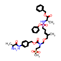 C/C(=C\CCP(=O)(N[C@@H](C)C(=O)OCc1ccccc1)Oc1ccccc1)COCN(CCS(C)(=O)=O)C(=O)OCc1ccc(NC(=O)[C@H](C)N)cc1